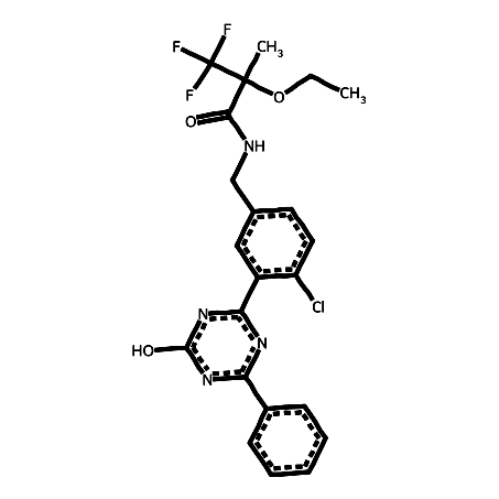 CCOC(C)(C(=O)NCc1ccc(Cl)c(-c2nc(O)nc(-c3ccccc3)n2)c1)C(F)(F)F